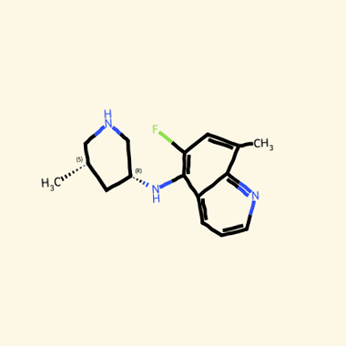 Cc1cc(F)c(N[C@H]2CNC[C@@H](C)C2)c2cccnc12